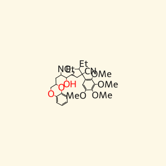 CCC(CC)C(C#N)(CCC(O)C(CC1COc2ccccc2O1)[N+](=O)[O-])c1cc(OC)c(OC)c(OC)c1OC